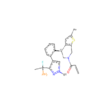 C=CC(=O)N1Cc2sc(C(C)C)cc2[C@H](c2ccccc2-c2cn(CC)nc2C(C)(F)P)C1